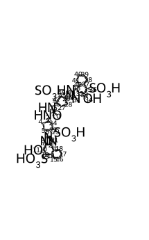 O=C(Nc1ccc(-n2nc3c(O)c(S(=O)(=O)O)c4ccccc4c3n2)c(S(=O)(=O)O)c1)Nc1ccc(-n2nc3c(O)c(S(=O)(=O)O)c4ccccc4c3n2)c(S(=O)(=O)O)c1